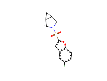 O=C(O)[C@@H]1C2C[C@H]2CN1S(=O)(=O)c1cc2cc(F)ccc2o1